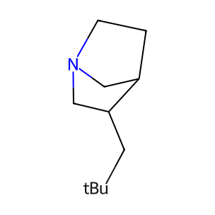 CC(C)(C)CC1CN2CCC1C2